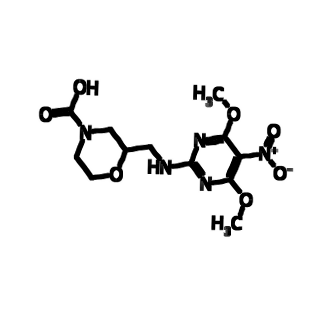 COc1nc(NCC2CN(C(=O)O)CCO2)nc(OC)c1[N+](=O)[O-]